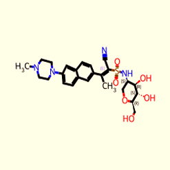 C/C(=C(/C#N)S(=O)(=O)N[C@H]1CO[C@H](CO)[C@@H](O)[C@@H]1O)c1ccc2cc(N3CCN(C)CC3)ccc2c1